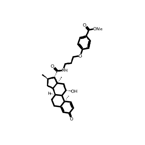 COC(=O)c1ccc(OCCCNC(=O)[C@H]2[C@H](C)CC3[C@@H]4CCC5=CC(=O)C=C[C@]5(C)C4[C@@H](O)C[C@@]32C)cc1